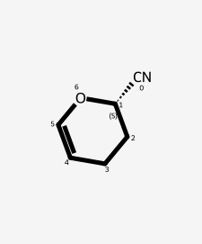 N#C[C@@H]1CCC=CO1